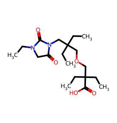 CCN1CC(=O)N(CC(CC)(CC)COCC(CC)(CC)C(=O)O)C1=O